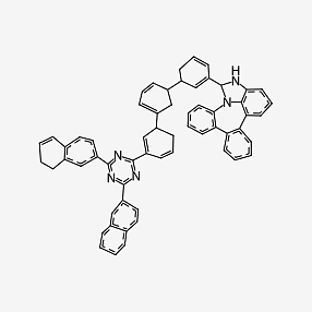 C1=CC(C2C=C(C3Nc4cccc5c4N3c3ccccc3-c3ccccc3-5)C=CC2)CC(C2C=C(c3nc(-c4ccc5c(c4)CCC=C5)nc(-c4ccc5ccccc5c4)n3)C=CC2)=C1